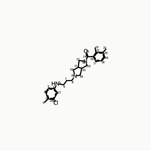 Cc1ccc(NCCCN2CC3CN(C(=O)c4cccc(C)c4C)CC3C2)cc1Cl